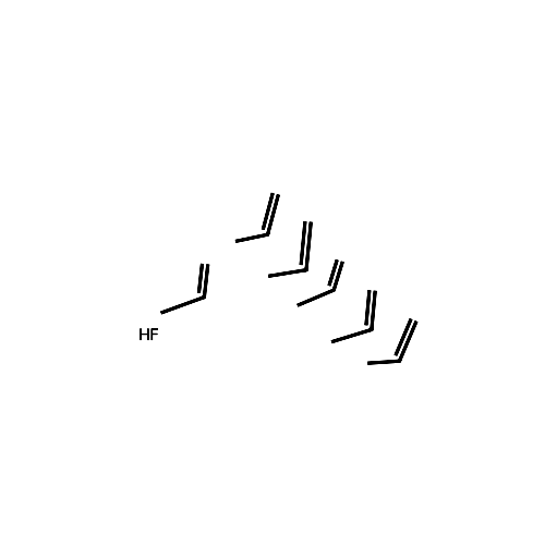 C=CC.C=CC.C=CC.C=CC.C=CC.C=CC.F